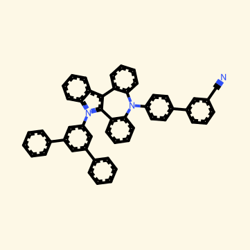 N#Cc1cccc(-c2ccc(N3c4ccccc4-c4c(n(-c5cc(-c6ccccc6)cc(-c6ccccc6)c5)c5ccccc45)-c4ccccc43)cc2)c1